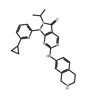 CC(C)n1c(=O)c2cnc(Nc3ccc4c(c3)CNCC4)nc2n1-c1cccc(C2CC2)n1